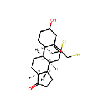 C[C@]12CC[C@@H]3[C@@H](CC=C4CC(O)CC[C@@]43CC(S)CS)[C@@H]1CCC2=O